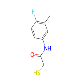 Cc1cc(NC(=O)CS)ccc1F